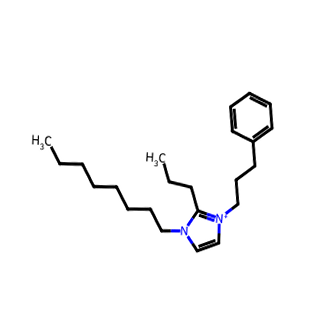 CCCCCCCCn1cc[n+](CCCc2ccccc2)c1CCC